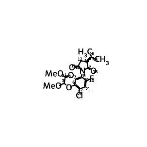 COC(=O)C(OC)Oc1cc(N2C(=O)CC(=C(C)C)C2=O)c(F)cc1Cl